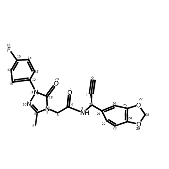 C#C[C@H](NC(=O)Cn1c(C)nn(-c2ccc(F)cc2)c1=O)c1ccc2c(c1)OCO2